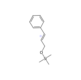 C[Si](C)(C)OC/C=C/c1ccccc1